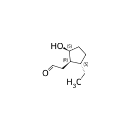 CC[C@H]1CC[C@H](O)[C@@H]1CC=O